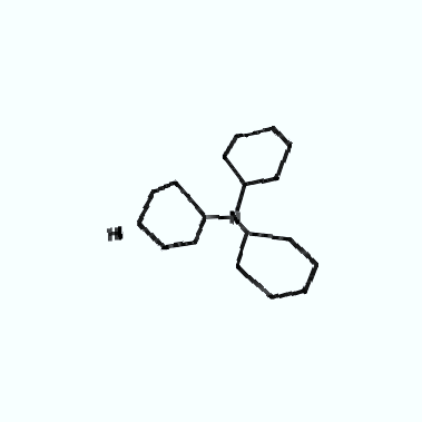 C1CCC(N(C2CCCCC2)C2CCCCC2)CC1.I